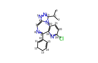 CC(C)C1N=NC2=CN=C(C3=CCCC=C3)c3nc(Cl)ccc3N21